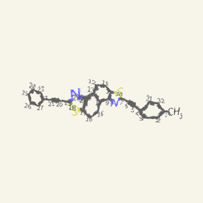 Cc1ccc(C#Cc2nc3c(ccc4c3ccc3sc(C#Cc5ccccc5)nc34)s2)cc1